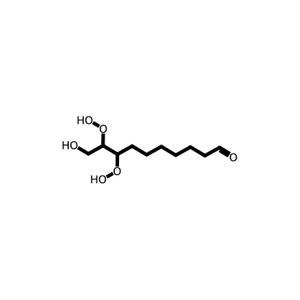 O=CCCCCCCC(OO)C(CO)OO